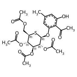 CC(=O)OC[C@H]1S[C@@H](Oc2cc(C)cc(O)c2C(C)=O)[C@H](OC(C)=O)[C@@H](OC(C)=O)[C@@H]1OC(C)=O